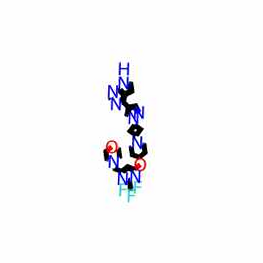 FC(F)(F)c1nc(CN2CCOCC2)cc(OC2CCN(C3C[C](n4cc(-c5ncnc6[nH]ccc56)cn4)C3)CC2)n1